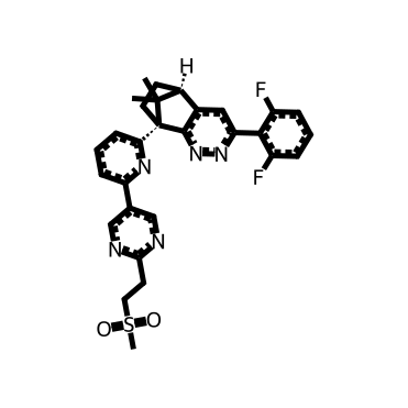 CC1(C)[C@H]2CC[C@]1(c1cccc(-c3cnc(CCS(C)(=O)=O)nc3)n1)c1nnc(-c3c(F)cccc3F)cc12